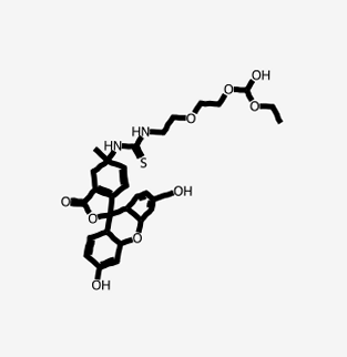 CCOC(O)OCCOCCNC(=S)NC1(C)C=CC2=C(C1)C(=O)OC21C2C=CC(O)=CC2OC2C=C(O)C=CC21